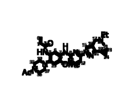 C=CC(=O)Nc1cc(Nc2nccc(-n3cc(CN(C)CC)c(C4CC4)n3)n2)c(OC)cc1N1CCN(C(C)=O)CC1